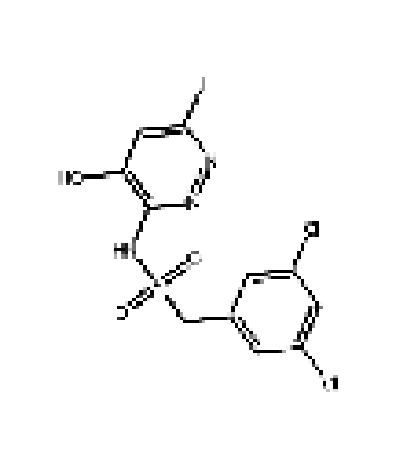 O=S(=O)(Cc1cc(Cl)cc(Cl)c1)Nc1nnc(I)cc1O